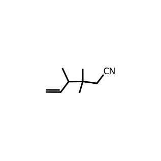 C=CC(C)C(C)(C)CC#N